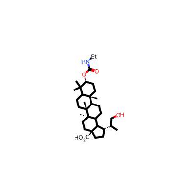 CCNC(=O)O[C@@H]1CC[C@@]2(C)C(CC[C@]3(C)C2CCC2C4[C@H](C(C)CO)CC[C@]4(C(=O)O)CC[C@]23C)C1(C)C